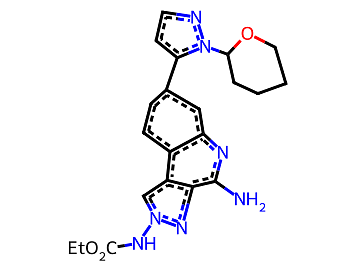 CCOC(=O)Nn1cc2c(n1)c(N)nc1cc(-c3ccnn3C3CCCCO3)ccc12